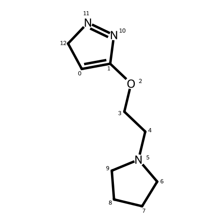 C1=C(OCCN2CCCC2)N=NC1